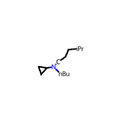 CCCCN(CCCC(C)C)C1CC1